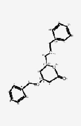 O=C1C[C@@H](OCc2ccccc2)C[C@@H](COCc2ccccc2)O1